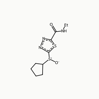 CCNC(=O)c1nnc([S+]([O-])C2CCCC2)s1